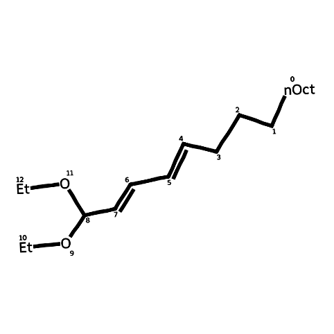 CCCCCCCCCCCC=CC=CC(OCC)OCC